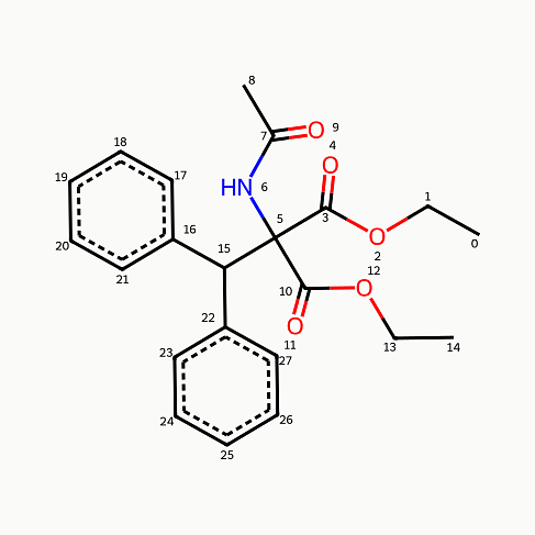 CCOC(=O)C(NC(C)=O)(C(=O)OCC)C(c1ccccc1)c1ccccc1